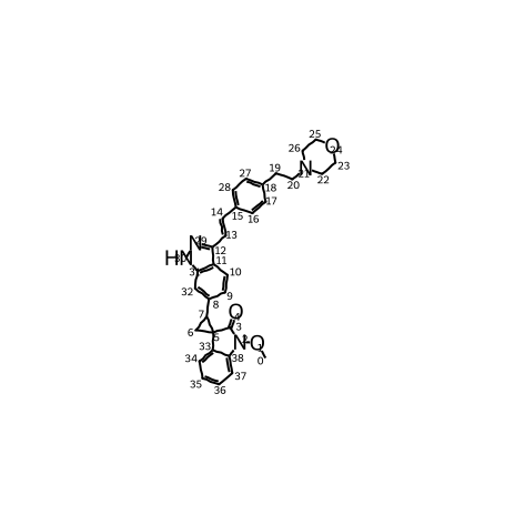 CON1C(=O)C2(CC2c2ccc3c(C=Cc4ccc(CCN5CCOCC5)cc4)n[nH]c3c2)c2ccccc21